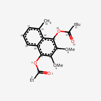 CCC(=O)Oc1c(OC)c(OC)c(OC(=O)C(C)(C)C)c2c(C)cccc12